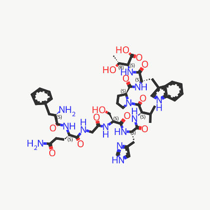 CC(C)[C@H](NC(=O)[C@H](Cc1c[nH]cn1)NC(=O)[C@H](CO)NC(=O)CNC(=O)[C@H](CCC(N)=O)NC(=O)[C@@H](N)Cc1ccccc1)C(=O)N1CCC[C@H]1C(=O)N[C@@H](Cc1c[nH]c2ccccc12)C(=O)N[C@H](C(=O)O)[C@@H](C)O